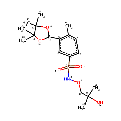 Cc1ccc(S(=O)(=O)NOCC(C)(C)O)cc1B1OC(C)(C)C(C)(C)O1